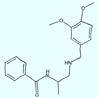 COc1ccc(CNCC(C)NC(=O)c2ccccc2)cc1OC